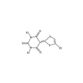 CCC1=CSC(=C2C(=O)N(CC)C(=S)N(CC)C2=O)S1